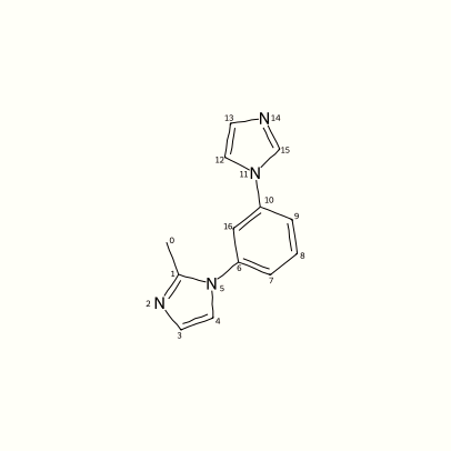 Cc1nccn1-c1cccc(-n2ccnc2)c1